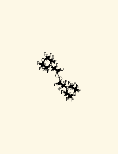 O=C(OOC(=O)C(F)(F)N1C(F)(F)C(F)(F)OC(F)(F)C1(F)F)C(F)(F)N1C(F)(F)C(F)(F)OC(F)(F)C1(F)F